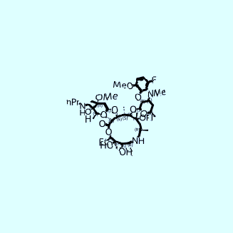 CCCNC[C@]1(O)[C@H](C)O[C@@H](O[C@H]2[C@H](C)[C@@H](O[C@@H]3O[C@H](C)C[C@H](NC)[C@H]3Oc3cc(F)ccc3OC)[C@](C)(O)C[C@@H](C)CN[C@H](C)[C@@H](O)[C@](C)(O)[C@@H](CC)OC(=O)[C@@H]2C)C[C@@]1(C)OC